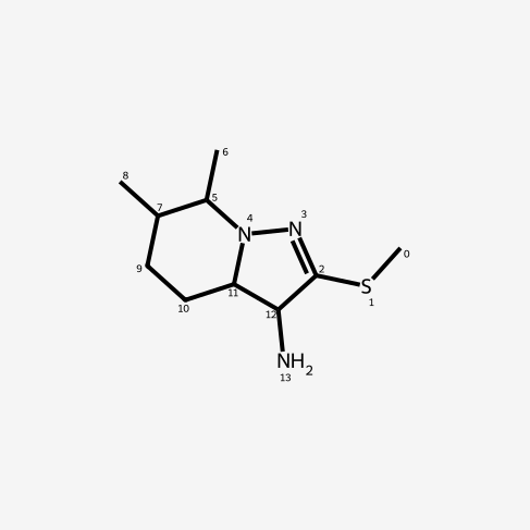 CSC1=NN2C(C)C(C)CCC2C1N